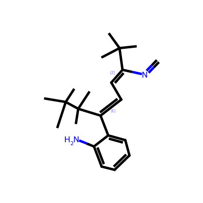 C=N/C(=C\C=C(\c1ccccc1N)C(C)(C)C(C)(C)C)C(C)(C)C